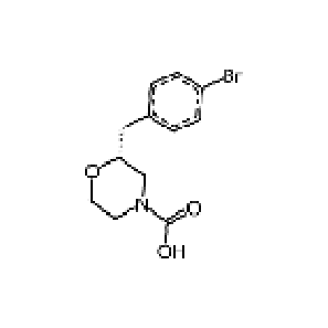 O=C(O)N1CCO[C@H](Cc2ccc(Br)cc2)C1